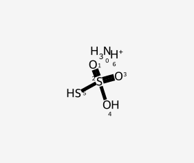 N.O=S(=O)(O)S.[H+]